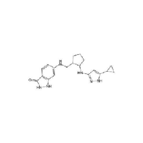 O=c1[nH][nH]c2cc(NCC3CCCC3Nc3cc(C4CC4)[nH]n3)ccc12